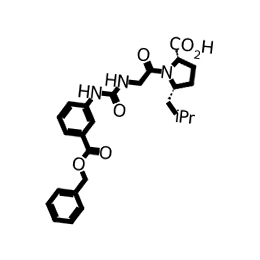 CC(C)C[C@H]1CC[C@@H](C(=O)O)N1C(=O)CNC(=O)Nc1cccc(C(=O)OCc2ccccc2)c1